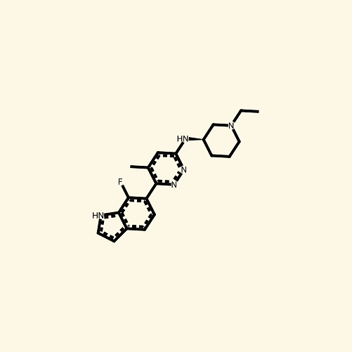 CCN1CCC[C@@H](Nc2cc(C)c(-c3ccc4cc[nH]c4c3F)nn2)C1